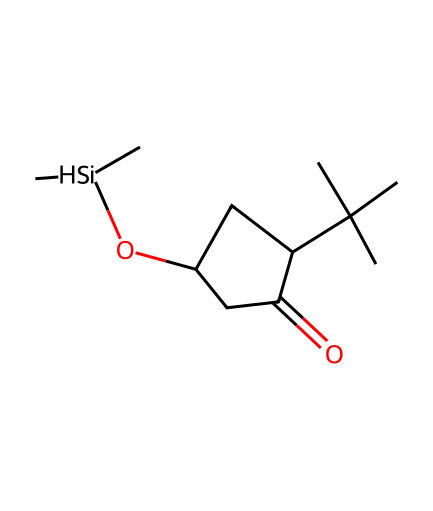 C[SiH](C)OC1CC(=O)C(C(C)(C)C)C1